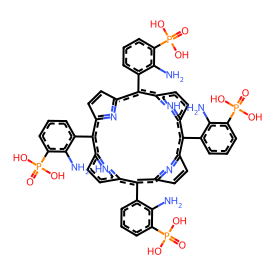 Nc1c(-c2c3nc(c(-c4cccc(P(=O)(O)O)c4N)c4ccc([nH]4)c(-c4cccc(P(=O)(O)O)c4N)c4nc(c(-c5cccc(P(=O)(O)O)c5N)c5ccc2[nH]5)C=C4)C=C3)cccc1P(=O)(O)O